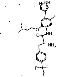 CN(C)CCOc1cc(-c2cn[nH]c2)c(F)cc1NC(=O)[C@H](N)Cc1ccc(C(F)(F)F)cc1